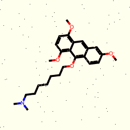 COc1ccc2c(OCCCCCCCN(C)C)c3c(OC)ccc(OC)c3cc2c1